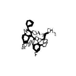 CCCC(=O)Oc1c(Cl)cc(F)cc1NC(=O)c1c(C)c(-c2ccccc2)nc2ccc(Br)cc12